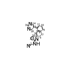 N#CNC1=NC2(CCc3cccc(-c4cncnc4)c3C2)CO1